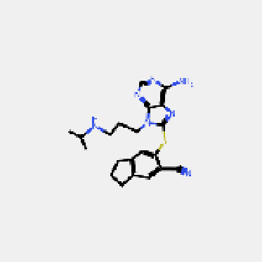 CC(C)NCCCn1c(Sc2cc3c(cc2C#N)CCC3)nc2c(N)ncnc21